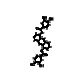 O=C(Oc1cccc2cc3c(OC(=O)c4ccc(O)c(O)c4)cccc3cc12)c1ccc(O)c(O)c1